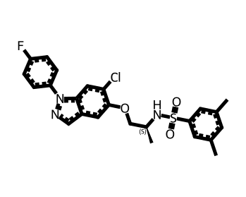 Cc1cc(C)cc(S(=O)(=O)N[C@@H](C)COc2cc3cnn(-c4ccc(F)cc4)c3cc2Cl)c1